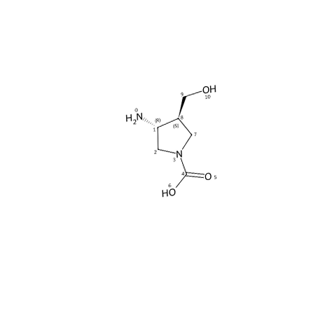 N[C@H]1CN(C(=O)O)C[C@@H]1CO